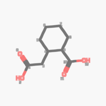 O=C(O)CC1CC[CH]CC1C(=O)O